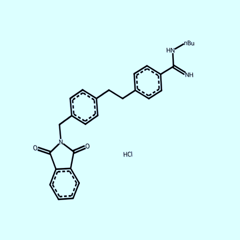 CCCCNC(=N)c1ccc(CCc2ccc(CN3C(=O)c4ccccc4C3=O)cc2)cc1.Cl